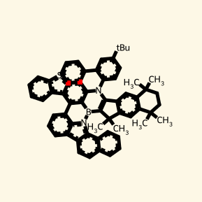 CC(C)(C)c1ccc(N2C3=C(B4c5c2cc2sc6ccccc6c2c5-c2cccc5c6ccc7ccccc7c6n4c25)C(C)(C)c2cc4c(cc23)C(C)(C)CCC4(C)C)c(-c2ccccc2)c1